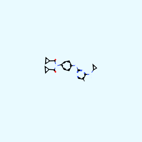 O=C(C1CC1)N(C(=O)C1CC1)c1ccc(Nc2ncc(C(F)(F)F)c(NC3CC3)n2)cc1